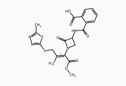 COC(=O)/C(=C(\C)CSc1nnc(C)s1)N1CC(NC(=O)c2ccccc2C(=O)O)C1=O